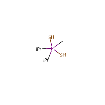 CC(C)P(C)(S)(S)C(C)C